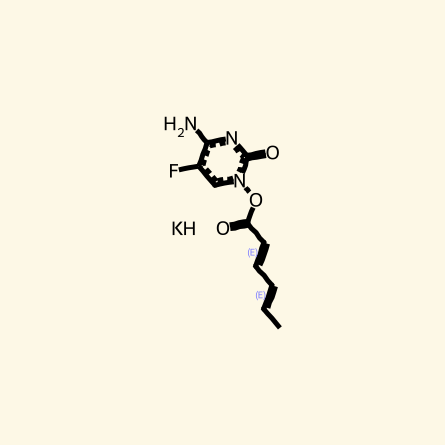 C/C=C/C=C/C(=O)On1cc(F)c(N)nc1=O.[KH]